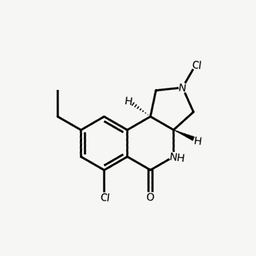 CCc1cc(Cl)c2c(c1)[C@H]1CN(Cl)C[C@@H]1NC2=O